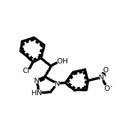 O=[N+]([O-])c1ccc(N2CNN=C2C(O)c2ccccc2Cl)cc1